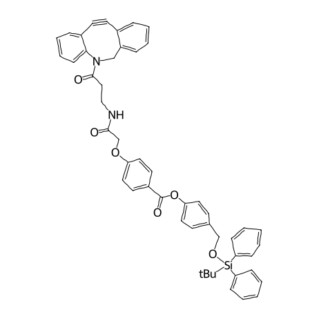 CC(C)(C)[Si](OCc1ccc(OC(=O)c2ccc(OCC(=O)NCCC(=O)N3Cc4ccccc4C#Cc4ccccc43)cc2)cc1)(c1ccccc1)c1ccccc1